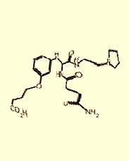 NC(=O)CCC(=O)NC(Nc1cccc(OCCCC(=O)O)c1)C(=O)NCCN1CCCC1